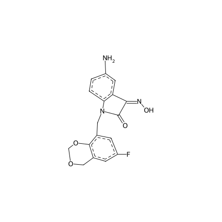 Nc1ccc2c(c1)/C(=N/O)C(=O)N2Cc1cc(F)cc2c1OCOC2